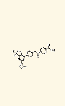 CC1CCN1c1nc(-c2ccc(CC(=O)N3CCN(C(=O)O)CC3)cc2)c2c(n1)C(F)(F)CC2